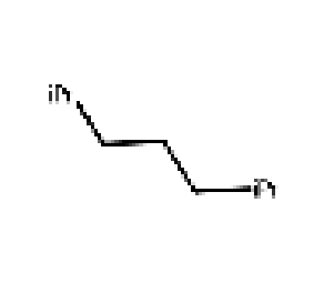 C[C](C)CCCC(C)C